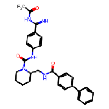 N=C(NC(=O)C(F)(F)F)c1ccc(NC(=O)N2CCCCC2CNC(=O)c2ccc(-c3ccccc3)cc2)cc1